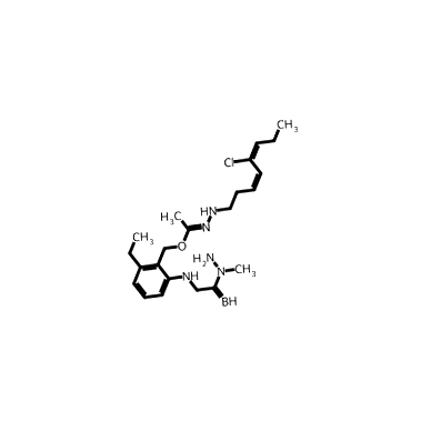 B=C(CNc1cccc(CC)c1CO/C(C)=N/NCC/C=C\C(Cl)=C/CC)N(C)N